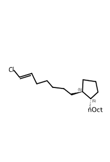 CCCCCCCC[C@H]1CCC[C@@H]1CCCCCC=CCl